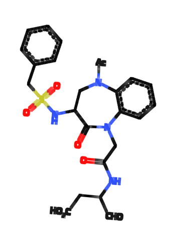 CC(=O)N1CC(NS(=O)(=O)Cc2ccccc2)C(=O)N(CC(=O)NC(C=O)CC(=O)O)c2ccccc21